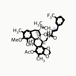 COc1c(C)cc2c(c1O)[C@@H]1Cc3c(OC(C)=O)c(C)c4c(c3[C@H](CNC(=O)/C=C/c3cccc(C(F)(F)F)c3)N1[C@@H](O)[C@@H](N(C)C)C2)OCO4